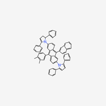 Cc1ccc(-c2c3ccc(-n4c(-c5ccccc5)ccc4-c4ccccc4)cc3c(-c3ccc4ccccc4c3)c3ccc(N4C(c5ccccc5)=CCC4c4ccccc4)cc23)cc1C